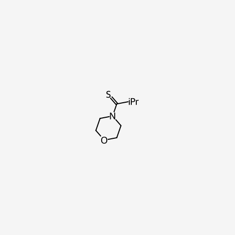 CC(C)C(=S)N1CCOCC1